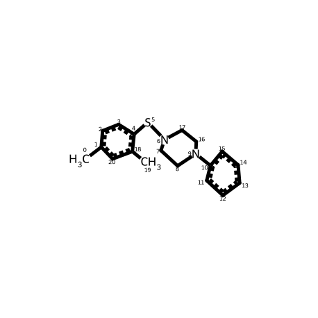 Cc1ccc(SN2CCN(c3ccccc3)CC2)c(C)c1